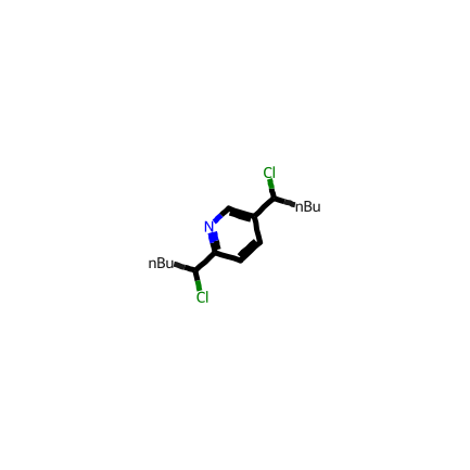 CCCCC(Cl)c1ccc(C(Cl)CCCC)nc1